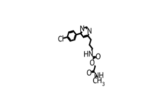 CNC(=O)COC(=O)NCCCc1cc(-c2ccc(Cl)cc2)ncn1